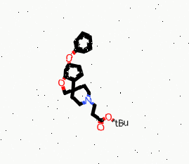 CC(C)(C)OC(=O)CCN1CCC2(CC1)COc1cc(Oc3ccccc3)ccc12